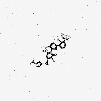 CN=[S@](C)(=O)c1cccc(-c2ncc(C)c(-n3c(C)cc([C@H]4C[C@@H]4c4cnn(C(F)F)c4)c(Cl)c3=O)c2F)c1F